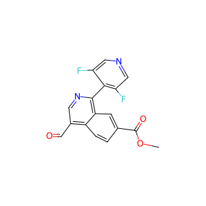 COC(=O)c1ccc2c(C=O)cnc(-c3c(F)cncc3F)c2c1